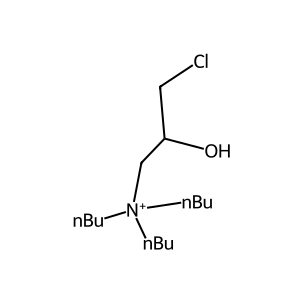 CCCC[N+](CCCC)(CCCC)CC(O)CCl